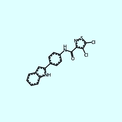 O=C(Nc1ccc(-c2cc3ccccc3[nH]2)cc1)c1nsc(Cl)c1Cl